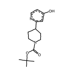 CC(C)(C)OC(=O)N1CCC(c2cc(O)ccn2)CC1